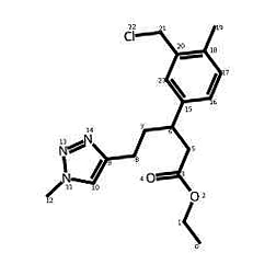 CCOC(=O)CC(CCc1cn(C)nn1)c1ccc(C)c(CCl)c1